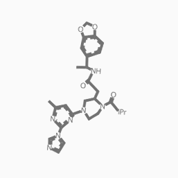 Cc1cc(N2CCN(C(=O)C(C)C)C(CC(=O)NC(C)c3ccc4c(c3)OCO4)C2)nc(-n2ccnc2)n1